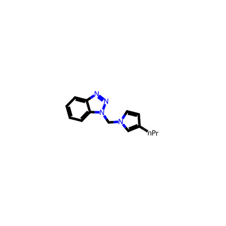 CCCc1ccn(Cn2nnc3ccccc32)c1